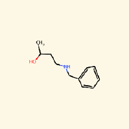 CC(O)CCNCc1ccccc1